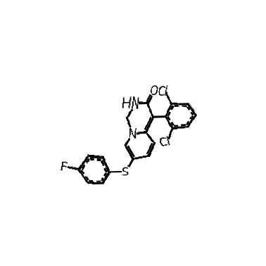 O=C1NCN2C=C(Sc3ccc(F)cc3)C=CC2=C1c1c(Cl)cccc1Cl